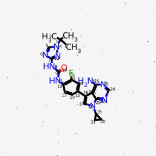 CC(C)(C)n1cnc(NC(=O)Nc2ccc(-c3cn(C4CC4)c4ncnc(N)c34)cc2F)n1